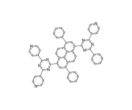 c1ccc(-c2nc(-c3ccncc3)nc(-c3cc(-c4ccccc4)c4ccc5c(-c6nc(-c7ccncc7)nc(-c7ccncc7)n6)cc(-c6ccccc6)c6ccc3c4c65)n2)cc1